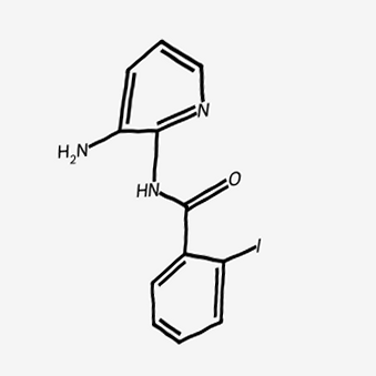 Nc1cccnc1NC(=O)c1ccccc1I